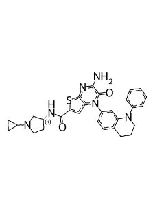 Nc1nc2sc(C(=O)N[C@@H]3CCN(C4CC4)C3)cc2n(-c2ccc3c(c2)N(c2ccccc2)CCC3)c1=O